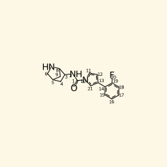 O=C(NC1CC2CNC1C2)n1ccc(-c2ccccc2F)c1